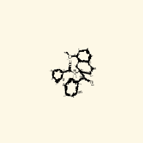 COc1cccc2c1C[C@@](NC(=O)c1ccccc1)(C(=O)c1[c]cccc1)CC2